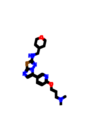 CN(C)CCCOc1ccc(-c2cnc3sc(NCC4CCOCC4)nn23)cn1